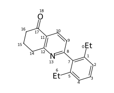 CCc1cccc(CC)c1-c1ccc2c(n1)CCCC2=O